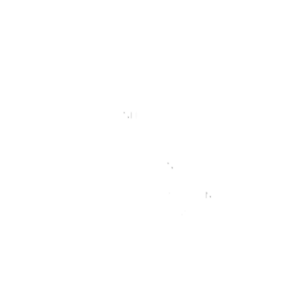 CN(Cc1nc(-c2ccc3c(c2)Nc2ccccc2S3)cs1)C(=O)O